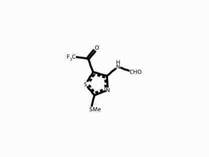 CSc1nc(NC=O)c(C(=O)C(F)(F)F)s1